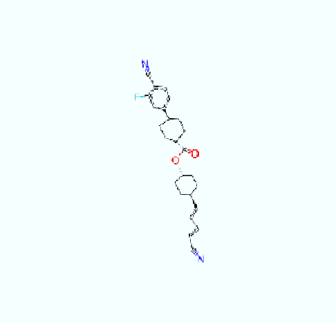 N#CC=CC=C[C@H]1CC[C@H](OC(=O)[C@H]2CC[C@H](c3ccc(C#N)c(F)c3)CC2)CC1